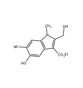 CCOC(=O)c1c(CO)n(C)c2cc(C#N)c(O)cc12